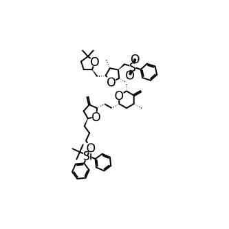 C=C1C[C@H](CCCO[Si](c2ccccc2)(c2ccccc2)C(C)(C)C)O[C@H]1CC[C@H]1C[C@@H](C)C(=C)[C@@H](C[C@@H]2O[C@H](C[C@H]3CCC(C)(C)O3)[C@H](C)[C@H]2CS(=O)(=O)c2ccccc2)O1